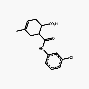 CC1=CCC(C(=O)O)C(C(=O)Nc2cccc(Cl)c2)C1